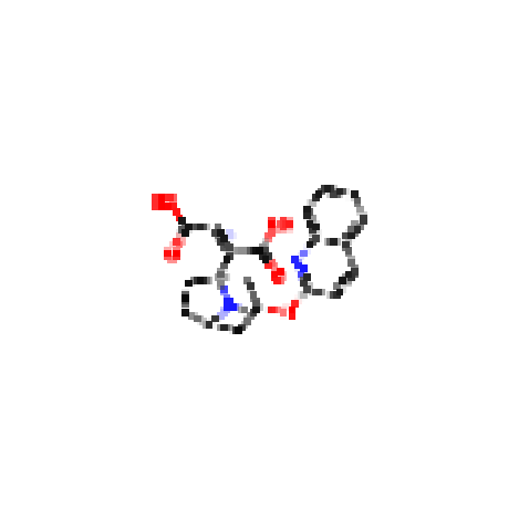 CN1C2CCC1(/C(=C\C(=O)O)C(=O)O)CC(Oc1ccc3ccccc3n1)C2